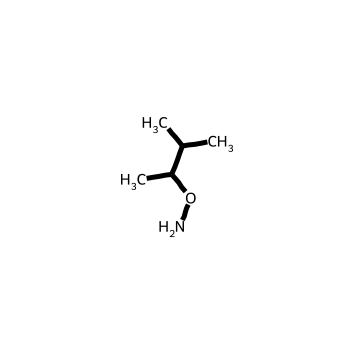 CC(C)C(C)ON